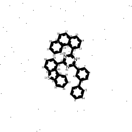 c1ccc(-c2cccc(-c3nc(-c4cccc5ccc6ccccc6c45)nc(-c4cccc5sc6ccccc6c45)n3)c2)cc1